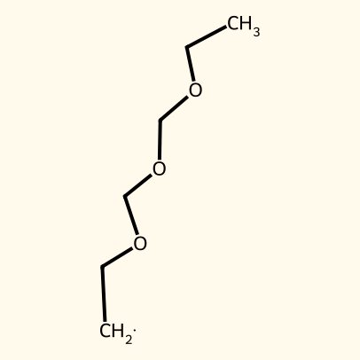 [CH2]COCOCOCC